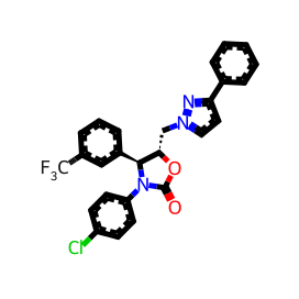 O=C1O[C@@H](Cn2ccc(-c3ccccc3)n2)[C@H](c2cccc(C(F)(F)F)c2)N1c1ccc(Cl)cc1